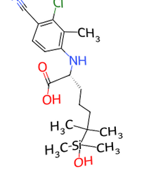 Cc1c(N[C@H](CCCC(C)(C)[Si](C)(C)O)C(=O)O)ccc(C#N)c1Cl